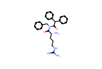 N=C(N)NCCC[C@@H](N)C(=O)N(Cc1ccccc1)C(=O)C(c1ccccc1)c1ccccc1